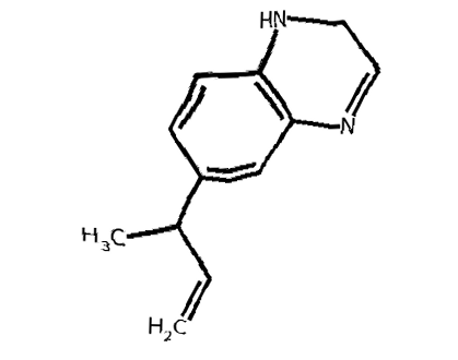 C=CC(C)c1ccc2c(c1)N=CCN2